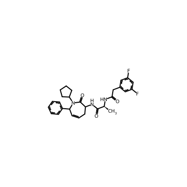 C[C@H](NC(=O)Cc1cc(F)cc(F)c1)C(=O)NC1CC=CC(c2ccccc2)N(C2CCCC2)C1=O